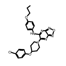 CCCOc1ccc(Nc2nc3nonc3nc2N2CCC(Oc3ccc(Cl)cc3)CC2)cc1